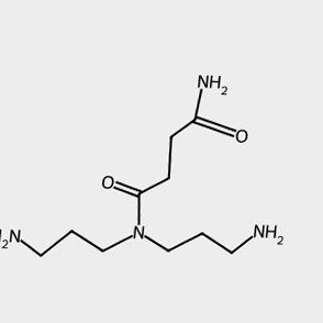 NCCCN(CCCN)C(=O)CCC(N)=O